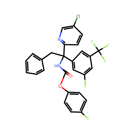 O=C(NC(Cc1ccccc1)(c1cc(F)cc(C(F)(F)F)c1)c1ccc(Cl)cn1)Oc1ccc(F)cc1